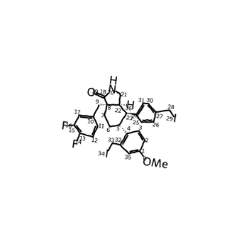 COc1ccc([C@@H]2CC[C@@]3(Cc4ccc(F)c(F)c4)C(=O)NC[C@H]3[C@H]2c2ccc(CI)cc2)c(CI)c1